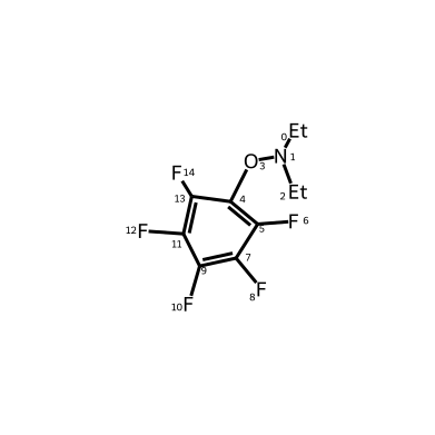 CCN(CC)Oc1c(F)c(F)c(F)c(F)c1F